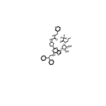 CCCN(C(=O)C(F)(F)F)[C@H]1C[C@@H](n2cnc3c(NCC(c4ccccc4)c4ccccc4)nc(N4CC[C@@H](NC(=O)NCc5cccnc5)C4)nc32)[C@H](O)[C@@H]1O